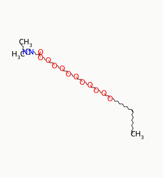 CCCCCCCC/C=C\CCCCCCCCOCCOCCOCCOCCOCCOCCOCCOCCOCCOCCOC(=O)CCN1CC[N+](C)(CCCC)CC1